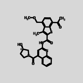 COCc1ccc(C(C)=O)c2sc(C(=O)Nc3cc(C(=O)N4CC[C@@H](O)C4)c4ccccc4n3)c(C)c12